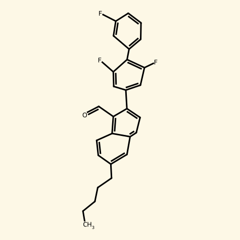 CCCCCc1ccc2c(C=O)c(-c3cc(F)c(-c4cccc(F)c4)c(F)c3)ccc2c1